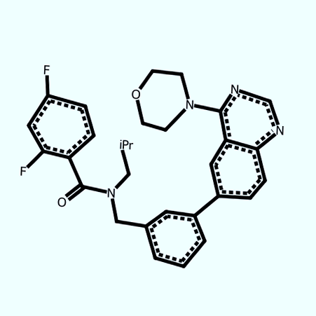 CC(C)CN(Cc1cccc(-c2ccc3ncnc(N4CCOCC4)c3c2)c1)C(=O)c1ccc(F)cc1F